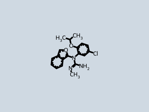 CN=C(N)N(c1cc(Cl)ccc1OC(C)C)c1occ2ccccc12